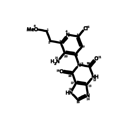 COCCc1nc(Cl)cc(-n2c(=O)[nH]c3nc[nH]c3c2=O)c1N